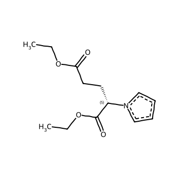 CCOC(=O)CC[C@@H](C(=O)OCC)n1cccc1